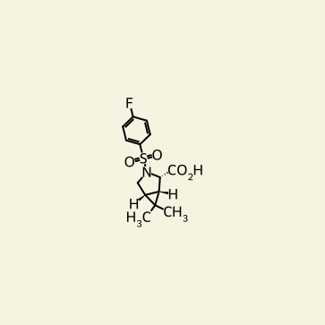 CC1(C)[C@H]2[C@@H](C(=O)O)N(S(=O)(=O)c3ccc(F)cc3)C[C@H]21